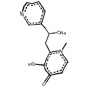 Cn1ccc(=O)c(O)c1CC(O)c1cccnc1